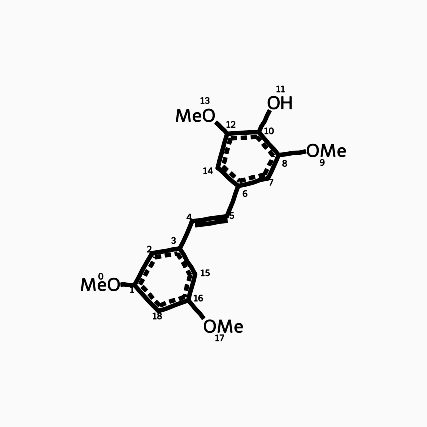 COc1cc(C=Cc2cc(OC)c(O)c(OC)c2)cc(OC)c1